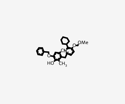 COCOc1ccc(Cc2c(C)cc(OCc3ccccc3)c(O)c2C)nc1C1CCCCC1